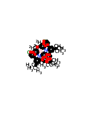 [2H]c1c([2H])c2c(c([2H])c1Cl)N(c1c(-c3ccccc3)cc(C(C)(C)C)cc1-c1ccccc1)c1c([2H])c(B3OC(C)(C)C(C)(C)O3)c([2H])c3c1B2c1c([2H])c([2H])c(Cl)c([2H])c1N3c1c(-c2ccccc2)cc(C(C)(C)C)cc1-c1ccccc1